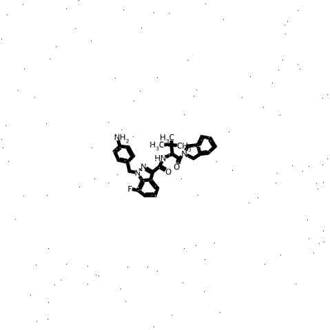 CC(C)(C)C(NC(=O)c1nn(Cc2ccc(N)cc2)c2c(F)cccc12)C(=O)N1Cc2ccccc2C1